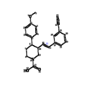 COc1ccc(C2CCN(C(=O)O)CC2/C=C/c2cccc(C#N)c2)cc1